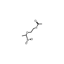 CC(=O)SCCOC(C)[N+](=O)[O-]